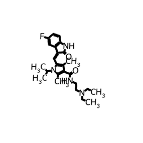 CCN(CC)CCNC(=O)c1c(C)c(/C=C2\C(=O)Nc3ccc(F)cc32)n(C(C)C)c1C